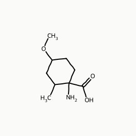 COC1CCC(N)(C(=O)O)C(C)C1